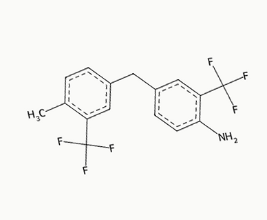 Cc1ccc(Cc2ccc(N)c(C(F)(F)F)c2)cc1C(F)(F)F